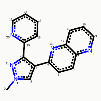 Cn1cc(-c2ccc3ncccc3n2)c(-c2ccccn2)n1